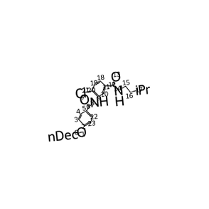 CCCCCCCCCCOc1ccc(C(=O)Nc2cc(C(=O)NCCC(C)C)ccc2Cl)cc1